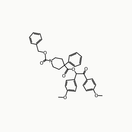 COc1ccc(C(=O)C(OC(=O)C2(c3ccccc3)CCN(C(=O)OCc3ccccc3)CC2)c2ccc(OC)cc2)cc1